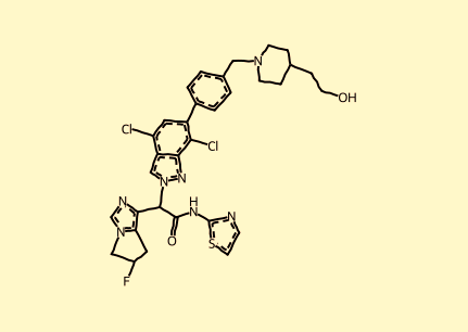 O=C(Nc1nccs1)C(c1ncn2c1CC(F)C2)n1cc2c(Cl)cc(-c3ccc(CN4CCC(CCO)CC4)cc3)c(Cl)c2n1